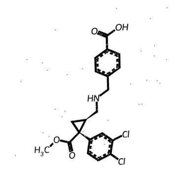 COC(=O)[C@]1(c2ccc(Cl)c(Cl)c2)C[C@H]1CNCc1ccc(C(=O)O)cc1